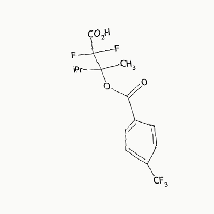 CC(C)C(C)(OC(=O)c1ccc(C(F)(F)F)cc1)C(F)(F)C(=O)O